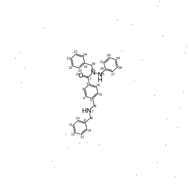 O=C(c1ccc(CNCc2ccccc2)cc1)N(Cc1ccccc1)Nc1ccccc1